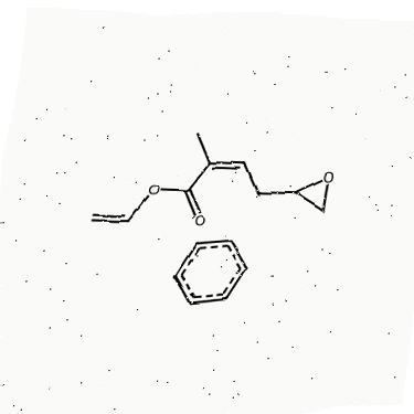 C=COC(=O)C(C)=CCC1CO1.c1ccccc1